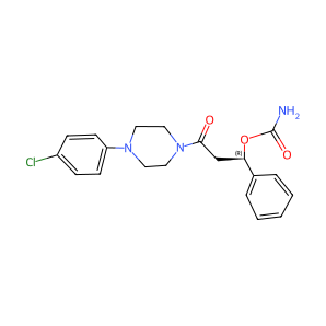 NC(=O)O[C@H](CC(=O)N1CCN(c2ccc(Cl)cc2)CC1)c1ccccc1